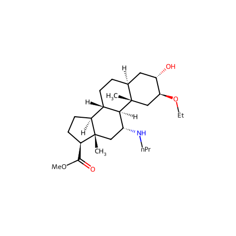 CCCN[C@@H]1C[C@]2(C)[C@@H](C(=O)OC)CC[C@H]2[C@@H]2CC[C@H]3C[C@H](O)[C@@H](OCC)C[C@]3(C)[C@H]21